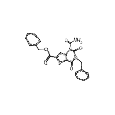 NC(=O)n1c(=O)n(Cc2ccccc2)c(=O)c2sc(C(=O)OCc3ccccc3)cc21